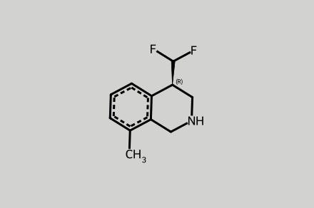 Cc1cccc2c1CNC[C@@H]2C(F)F